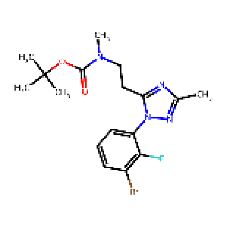 Cc1nc(CCN(C)C(=O)OC(C)(C)C)n(-c2cccc(Br)c2F)n1